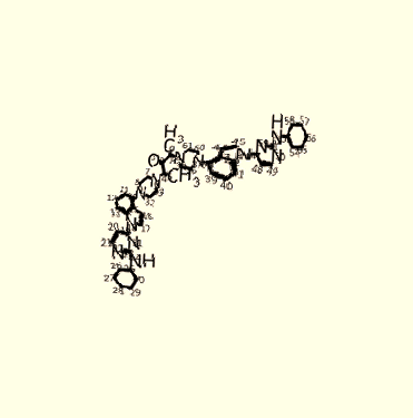 CC(C(=O)C(C)N1CCN(c2cccc3c2ccn3-c2ccnc(NC3CCCCC3)n2)CC1)N1CCN(c2cccc3c2ccn3-c2ccnc(NC3CCCCC3)n2)CC1